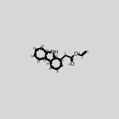 C=COC(=O)Cc1cccc2c1[nH]c1ccccc12